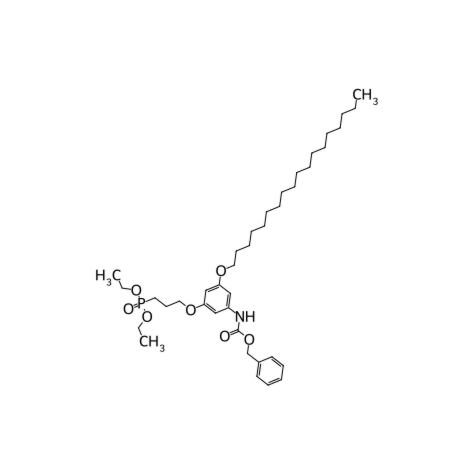 CCCCCCCCCCCCCCCCCCOc1cc(NC(=O)OCc2ccccc2)cc(OCCCP(=O)(OCC)OCC)c1